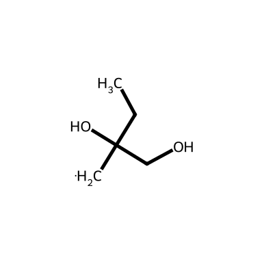 [CH2]C(O)(CC)CO